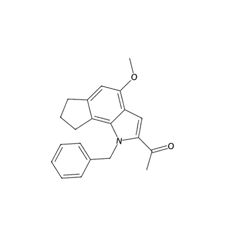 COc1cc2c(c3c1cc(C(C)=O)n3Cc1ccccc1)CCC2